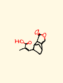 CC(=CC1CC2CC1C1C(=O)OCC21)C(=O)O